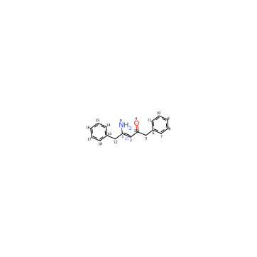 N/C(=C\C(=O)Cc1ccccc1)Cc1ccccc1